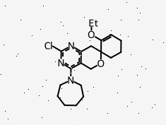 CCOC1=CCCCC12Cc1nc(Cl)nc(N3CCCCCC3)c1CO2